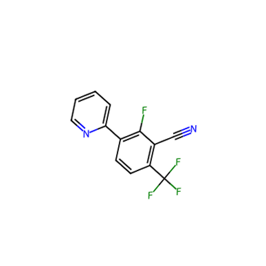 N#Cc1c(C(F)(F)F)ccc(-c2ccccn2)c1F